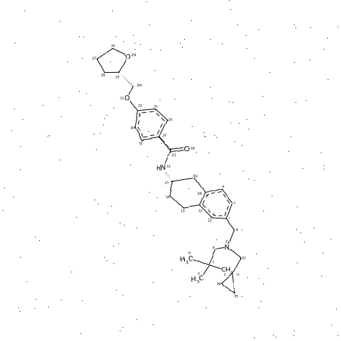 CC(C)(C)CN(Cc1ccc2c(c1)CC[C@H](NC(=O)c1ccc(OC[C@@H]3CCCO3)cc1)C2)CC1CC1